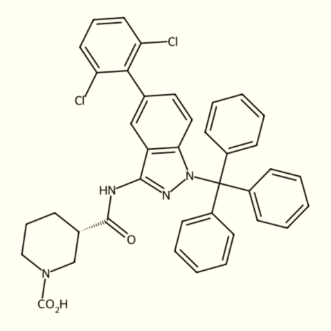 O=C(Nc1nn(C(c2ccccc2)(c2ccccc2)c2ccccc2)c2ccc(-c3c(Cl)cccc3Cl)cc12)[C@H]1CCCN(C(=O)O)C1